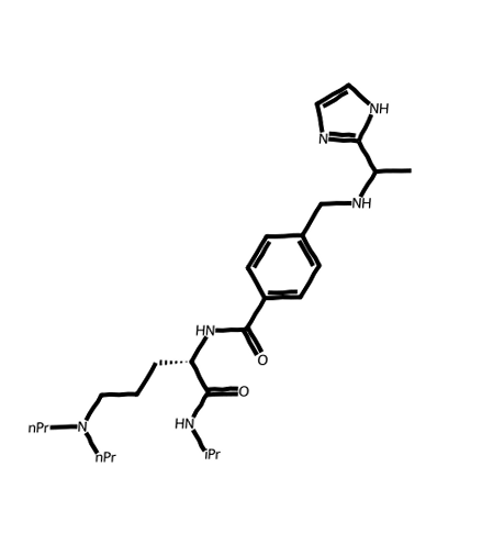 CCCN(CCC)CCC[C@H](NC(=O)c1ccc(CNC(C)c2ncc[nH]2)cc1)C(=O)NC(C)C